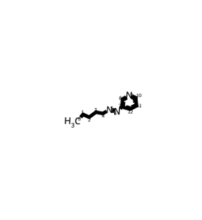 CCCCCN=Nc1[c]nccc1